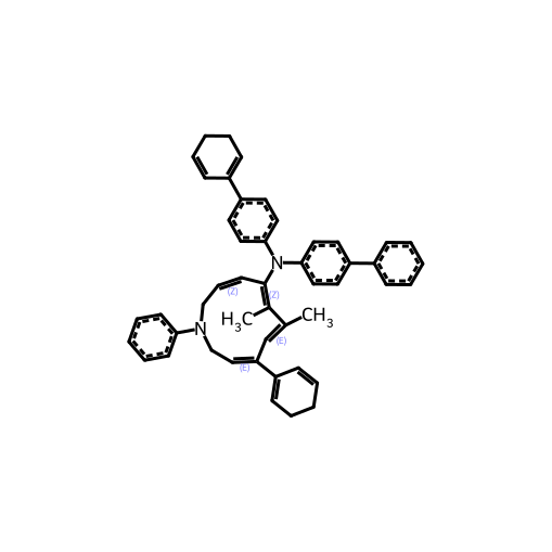 CC1=C(N(c2ccc(C3=CCCC=C3)cc2)c2ccc(-c3ccccc3)cc2)\C=C/CN(c2ccccc2)C/C=C(C2=CCCC=C2)\C=C\1C